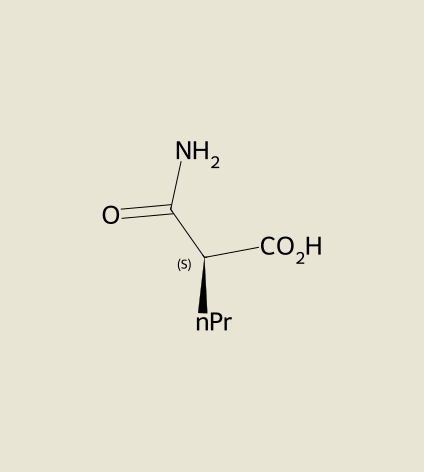 CCC[C@@H](C(N)=O)C(=O)O